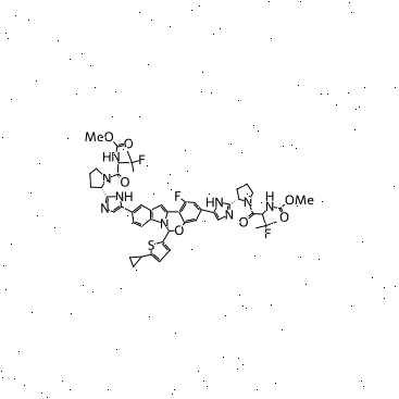 COC(=O)NC(C(=O)N1CCC[C@H]1c1ncc(-c2cc(F)c3c(c2)OC(c2ccc(C4CC4)s2)n2c-3cc3cc(-c4cnc([C@@H]5CCCN5C(=O)C(NC(=O)OC)C(C)(C)F)[nH]4)ccc32)[nH]1)C(C)(C)F